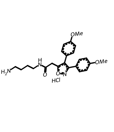 COc1ccc(-c2noc(CC(=O)NCCCCN)c2-c2ccc(OC)cc2)cc1.Cl